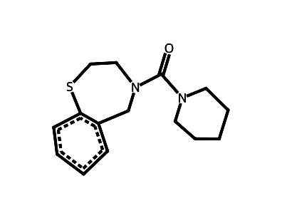 O=C(N1CCCCC1)N1CCSc2ccccc2C1